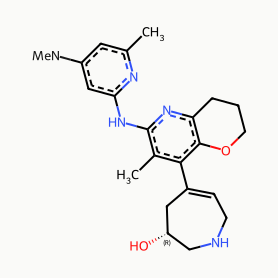 CNc1cc(C)nc(Nc2nc3c(c(C4=CCNC[C@H](O)C4)c2C)OCCC3)c1